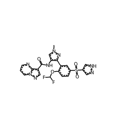 Cn1cc(NC(=O)c2cnn3cccnc23)c(-c2cc(S(=O)(=O)c3cn[nH]c3)ccc2OC(F)F)n1